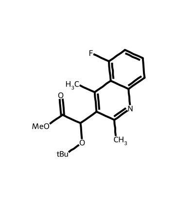 COC(=O)C(OC(C)(C)C)c1c(C)nc2cccc(F)c2c1C